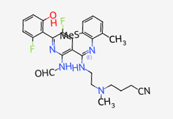 CSc1cccc(C)c1/N=C(/NCCN(C)CCCC#N)c1cc(F)c(-c2c(O)cccc2F)nc1NC=O